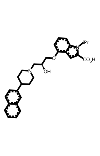 CC(C)n1c(C(=O)O)cc2c(OC[C@@H](O)CN3CCC(c4ccc5ccccc5c4)CC3)cccc21